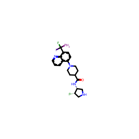 O=C(N[C@@H]1CNC[C@@H]1F)C1CCN(c2ccc(C(F)(P)I)c3ncccc23)CC1